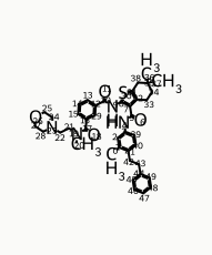 Cc1cc(NC(=O)c2c(NC(=O)c3cccc(C(=O)N(C)CCN4CCOCC4)c3)sc3c2CCC(C)(C)C3)ccc1CCc1ccccc1